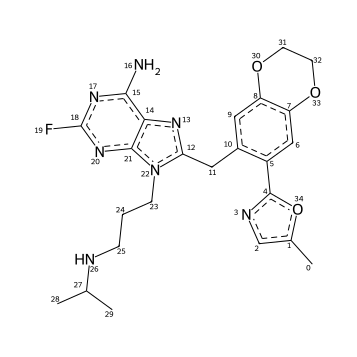 Cc1cnc(-c2cc3c(cc2Cc2nc4c(N)nc(F)nc4n2CCCNC(C)C)OCCO3)o1